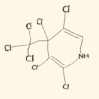 ClC1=CNC(Cl)=C(Cl)C1(Cl)C(Cl)(Cl)Cl